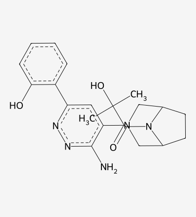 CC(C)(O)C(=O)N1C2CCC1CN(c1cc(-c3ccccc3O)nnc1N)C2